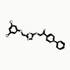 O=C(CSc1nnc(COc2cc(Cl)cc(Cl)c2)o1)c1ccc(-c2ccccc2)cc1